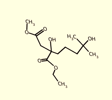 CCOC(=O)C(O)(CCCC(C)(C)O)CC(=O)OC